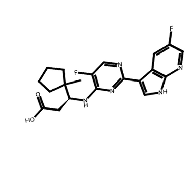 CC1([C@H](CC(=O)O)Nc2nc(-c3c[nH]c4ncc(F)cc34)ncc2F)CCCC1